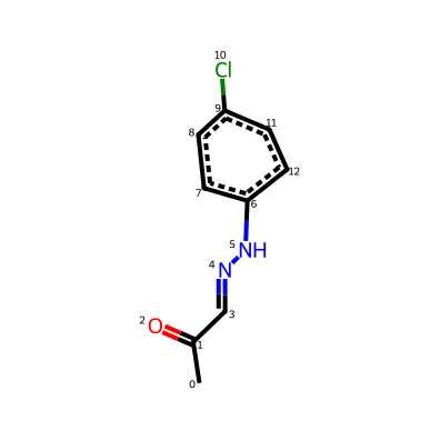 CC(=O)C=NNc1ccc(Cl)cc1